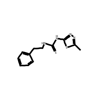 Cc1nnc(NC(=S)NCCc2ccccc2)s1